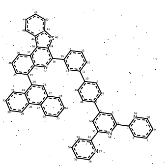 c1ccc(-c2cc(-c3ccc(-c4cccc(-c5nc6c(-c7cc8ccccc8c8ccccc78)cccc6c6c5sc5ccccc56)c4)cc3)cc(-c3ccccn3)n2)nc1